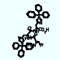 CC(C)C[C@H](N)C(=O)N[C@@H](Cc1cn(C(c2ccccc2)(c2ccccc2)c2ccccc2)cn1)C(=O)N[C@@H](Cc1cn(C(c2ccccc2)(c2ccccc2)c2ccccc2)cn1)C(=O)O